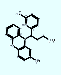 CCCc1ccc2c(c1)N(C(CCS(=O)(=O)O)c1cccc(CCC)n1)c1ccccc1O2